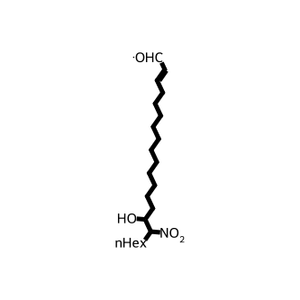 CCCCCCC(C(O)CCCCCCCCCCCC=C[C]=O)[N+](=O)[O-]